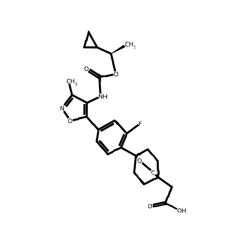 Cc1noc(-c2ccc(C34CCC(CC(=O)O)(CC3)CO4)c(F)c2)c1NC(=O)O[C@H](C)C1CC1